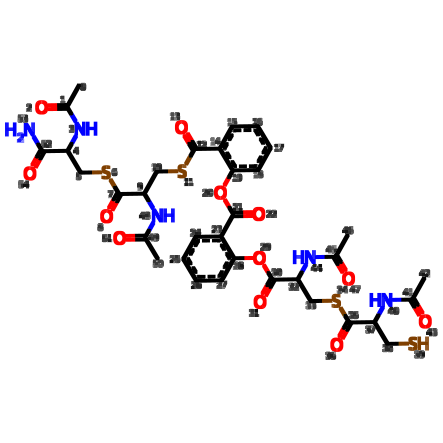 CC(=O)NC(CSC(=O)C(CSC(=O)c1ccccc1OC(=O)c1ccccc1OC(=O)C(CSC(=O)C(CS)NC(C)=O)NC(C)=O)NC(C)=O)C(N)=O